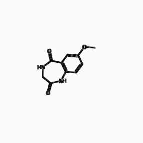 COc1ccc2c(c1)C(=O)NCC(=O)N2